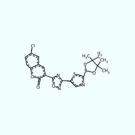 CC1(C)OB(c2ncc(-c3noc(-c4cc5cc(Cl)ccc5oc4=O)n3)s2)OC1(C)C